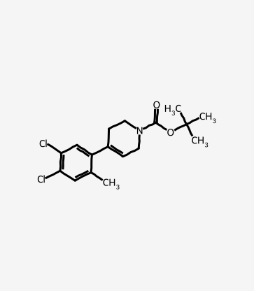 Cc1cc(Cl)c(Cl)cc1C1=CCN(C(=O)OC(C)(C)C)CC1